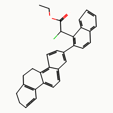 CCOC(=O)C(Cl)c1c(-c2ccc3c4c(ccc3c2)C2=C(CCC=C2)CC4)ccc2ccccc12